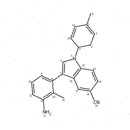 CC1=CCC(n2cc(-c3cccc(N)c3C)c3cc(C#N)ccc32)C=C1